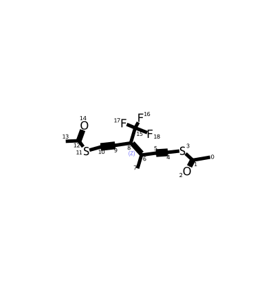 CC(=O)SC#C/C(C)=C(/C#CSC(C)=O)C(F)(F)F